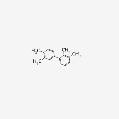 Cc1ccc(-c2cccc(C)c2C)cc1C